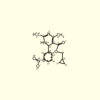 CC1=NC(C)=C(C(=O)OCC2CC2)C(c2cccc([N+](=O)[O-])c2)N1